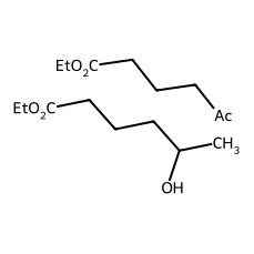 CCOC(=O)CCCC(C)=O.CCOC(=O)CCCC(C)O